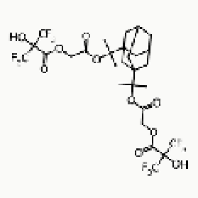 CC(C)(OC(=O)COC(=O)C(O)(C(F)(F)F)C(F)(F)F)C12CC3CC(C1)CC(C(C)(C)OC(=O)COC(=O)C(O)(C(F)(F)F)C(F)(F)F)(C3)C2